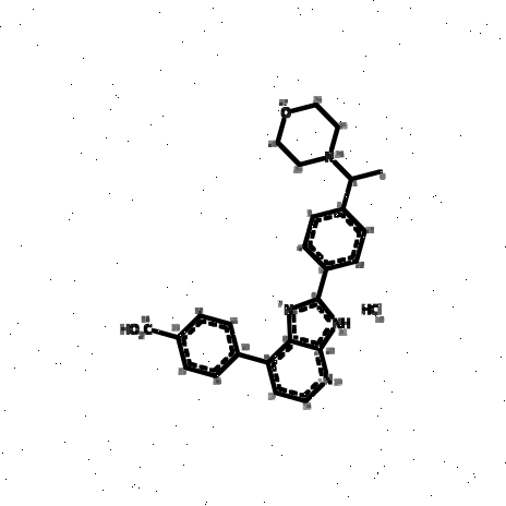 CC(c1ccc(-c2nc3c(-c4ccc(C(=O)O)cc4)ccnc3[nH]2)cc1)N1CCOCC1.Cl